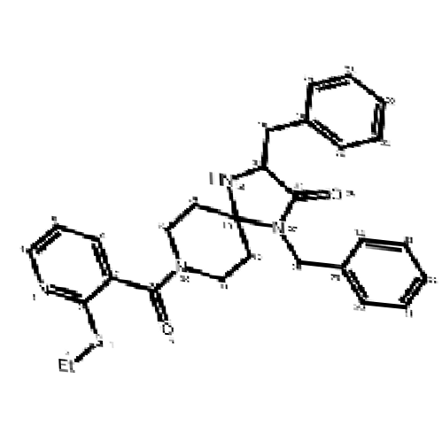 CCSc1ncccc1C(=O)N1CCC2(CC1)NC(Cc1ccccc1)C(=O)N2Cc1ccccc1